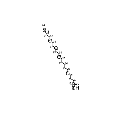 C=P(C)(O)CCCOCCCCCOCCOCCOCCOSC